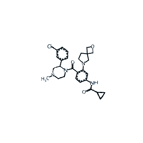 CN1CCN(C(=O)c2ccc(NC(=O)C3CC3)cc2N2CCC3(COC3)C2)C(c2cccc(Cl)c2)C1